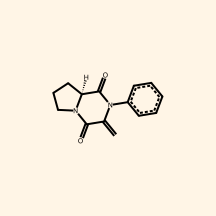 C=C1C(=O)N2CCC[C@H]2C(=O)N1c1ccccc1